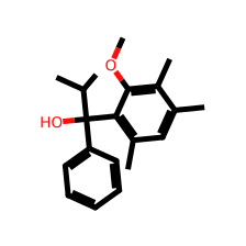 COc1c(C)c(C)cc(C)c1C(O)(c1ccccc1)C(C)C